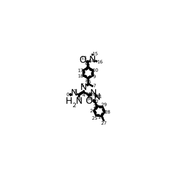 C=N/C(N)=C(\N=C(/C)c1ccc(C(=O)N(C)C)cc1)c1nnc(-c2ccc(C)cc2)o1